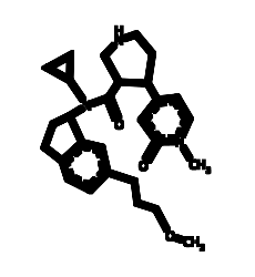 COCCCc1ccc2c(c1)C(N(C(=O)C1CNCCC1c1ccn(C)c(=O)c1)C1CC1)CC2